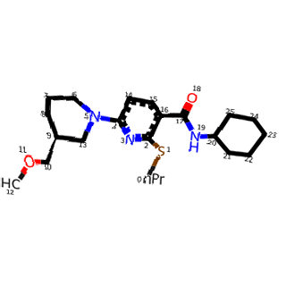 CCCSc1nc(N2CCC[C@H](COC=O)C2)ccc1C(=O)NC1CCCCC1